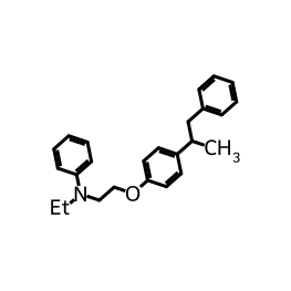 CCN(CCOc1ccc(C(C)Cc2ccccc2)cc1)c1ccccc1